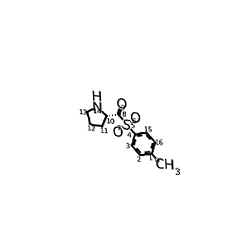 Cc1ccc(S(=O)(=O)C(=O)[C@@H]2CCCN2)cc1